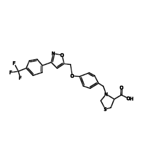 O=C(O)C1CSCN1Cc1ccc(OCc2cc(-c3ccc(C(F)(F)F)cc3)no2)cc1